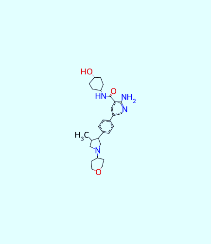 CC1CN(C2CCOCC2)CC1c1ccc(-c2cnc(N)c(C(=O)N[C@H]3CC[C@@H](O)CC3)c2)cc1